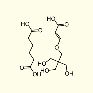 O=C(O)C=COCC(CO)(CO)CO.O=C(O)CCCCC(=O)O